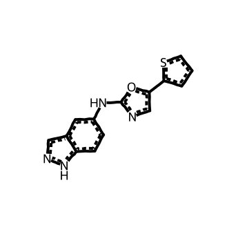 c1csc(-c2cnc(Nc3ccc4[nH]ncc4c3)o2)c1